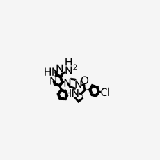 Nc1n[nH]c2ncc(-c3ccccc3)c(N3CCN(C(=O)[C@@H](c4ccc(Cl)cc4)[C@@H]4CCCN4)CC3)c12